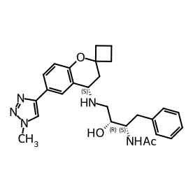 CC(=O)N[C@@H](Cc1ccccc1)[C@H](O)CN[C@H]1CC2(CCC2)Oc2ccc(-c3cn(C)nn3)cc21